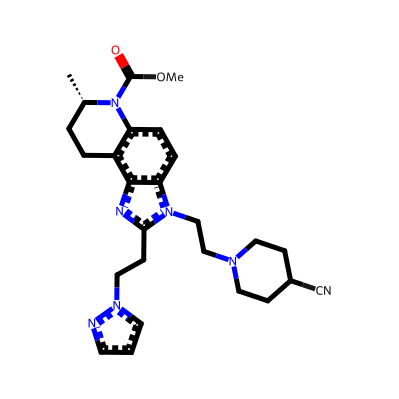 COC(=O)N1c2ccc3c(nc(CCn4cccn4)n3CCN3CCC(C#N)CC3)c2CC[C@@H]1C